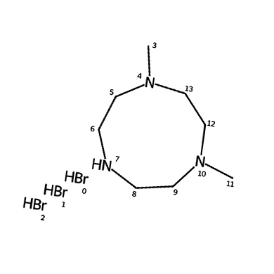 Br.Br.Br.CN1CCNCCN(C)CC1